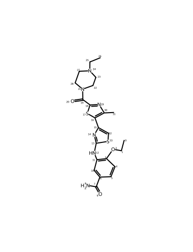 CCOc1ccc(C(N)=O)cc1Nc1nc(-c2sc(C(=O)N3CCN(CC)CC3)nc2C)cs1